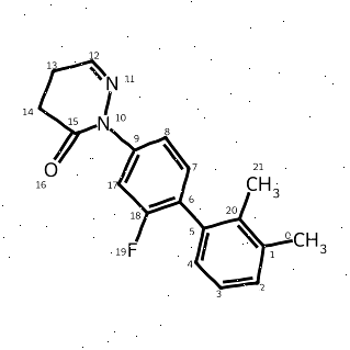 Cc1cccc(-c2ccc(N3N=CCCC3=O)cc2F)c1C